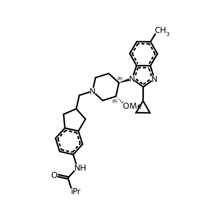 CO[C@@H]1CN(CC2Cc3ccc(NC(=O)C(C)C)cc3C2)CC[C@H]1n1c(C2CC2)nc2cc(C)ccc21